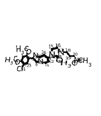 COc1cc(OC)c(-c2cn3ccc(N4CCN(CCCN(C)C)C4=O)cc3n2)cc1Cl